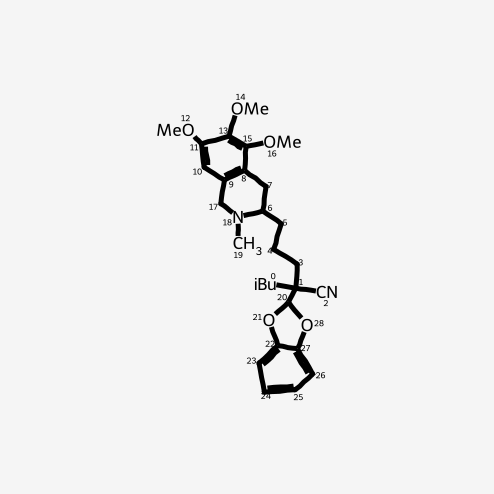 CCC(C)C(C#N)(CCCC1Cc2c(cc(OC)c(OC)c2OC)CN1C)C1Oc2ccccc2O1